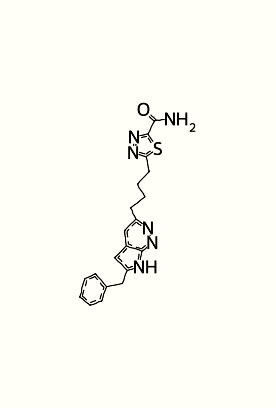 NC(=O)c1nnc(CCCCc2cc3cc(Cc4ccccc4)[nH]c3nn2)s1